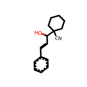 N#CC1(C(O)C=Cc2ccccc2)CCCCC1